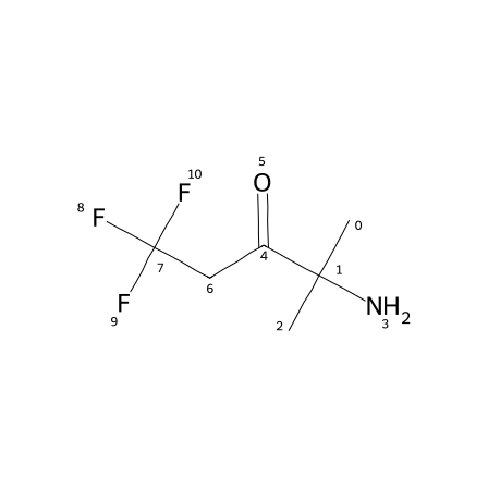 CC(C)(N)C(=O)CC(F)(F)F